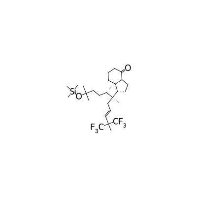 CC(C)(CCC[C@](C)(C/C=C/C(C)(C(F)(F)F)C(F)(F)F)[C@H]1CCC2C(=O)CCC[C@@]21C)O[Si](C)(C)C